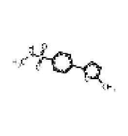 CNS(=O)(=O)c1ccc(-c2ccc(C)o2)cc1